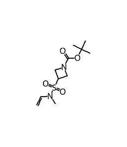 C=CN(C)S(=O)(=O)C1CN(C(=O)OC(C)(C)C)C1